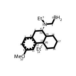 BCN(CC)[C@H]1Cc2ccc(OC)cc2[C@]2(CC)CCCCC12